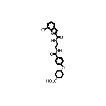 O=C(NCCNC(=O)c1cc2cccc(Cl)c2s1)c1ccc(O[C@H]2CC[C@@H](C(=O)O)CC2)cc1